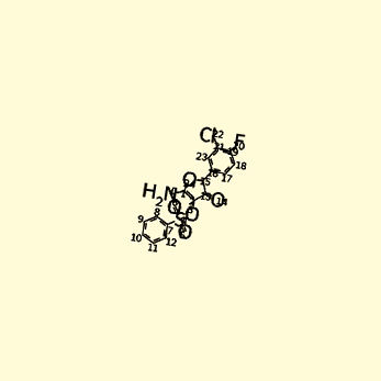 NC1=C(OS(=O)(=O)c2ccccc2)C(=O)C(c2ccc(F)c(Cl)c2)O1